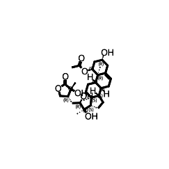 CC(=O)O[C@H]1C[C@H](O)CC2=CC[C@H]3[C@@H]4CC[C@H]([C@@](C)(O)[C@H](O)C[C@@H]5COC(=O)[C@]5(C)O)[C@@]4(C)CC[C@@H]3[C@]21C